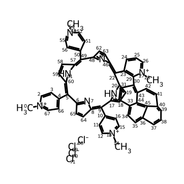 C[n+]1ccc(-c2c3nc(c(-c4cc[n+](C)cc4)c4ccc([nH]4)c(-c4ccc[n+](C)c4-c4ccc5ccc6cccc7ccc4c5c67)c4nc(c(-c5cc[n+](C)cc5)c5ccc2[nH]5)C=C4)C=C3)cc1.[Cl-].[Cl-].[Cl-].[Cl-]